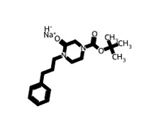 CC(C)(C)OC(=O)N1CCN(CCCc2ccccc2)C(=O)C1.[H-].[Na+]